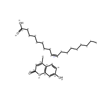 CCCCCCCC/C=C\CCCCCCCC(=O)O.Cc1cc(=O)oc2cc(O)ccc12